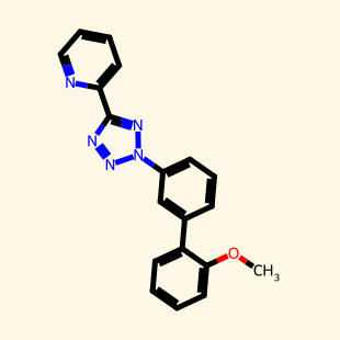 COc1ccccc1-c1cccc(-n2nnc(-c3ccccn3)n2)c1